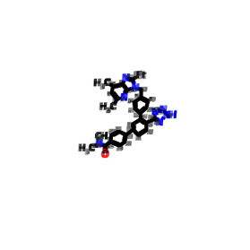 CCc1nc2c(C)cc(C)nc2n1Cc1ccc(-c2cc(-c3ccc(C(=O)N(C)C)cc3)ccc2-c2nn[nH]n2)cc1